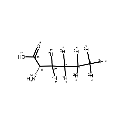 [2H]C([2H])([2H])C([2H])([2H])C([2H])([2H])C([2H])([2H])[C@H](N)C(=O)O